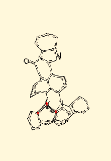 O=c1c2ccc(-n3c4ccccc4c4ccccc43)c3c(N4c5ccccc5Oc5ccccc54)ccc(c32)c2nc3ccccc3n12